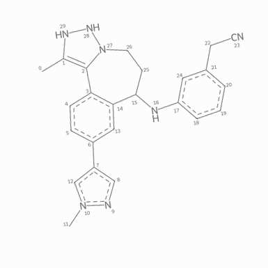 CC1=C2c3ccc(-c4cnn(C)c4)cc3C(Nc3cccc(CC#N)c3)CCN2NN1